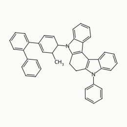 CC1C=C(c2ccccc2-c2ccccc2)C=CC1n1c2c(c3ccccc31)-c1c(n(-c3ccccc3)c3ccccc13)CC2